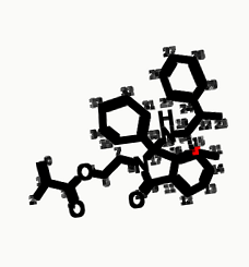 C=C(C)C(=O)OCCN1C(=O)c2ccccc2C1(N[C@@H](CC)C(C)c1ccccc1)c1ccccc1